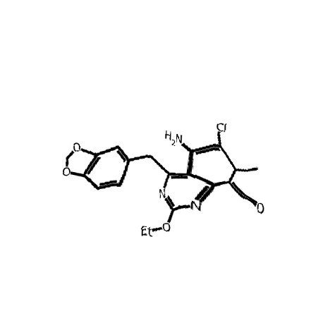 CCOc1nc(Cc2ccc3c(c2)OCO3)c2c(n1)C(=C=O)C(C)C(Cl)=C2N